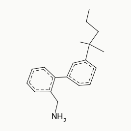 CCCC(C)(C)c1cccc(-c2ccccc2CN)c1